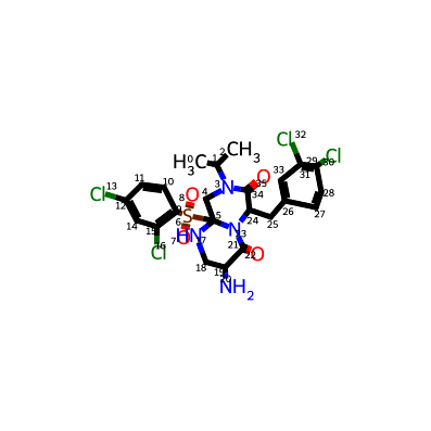 CC(C)N1CC2(S(=O)(=O)c3ccc(Cl)cc3Cl)NCC(N)C(=O)N2C(Cc2ccc(Cl)c(Cl)c2)C1=O